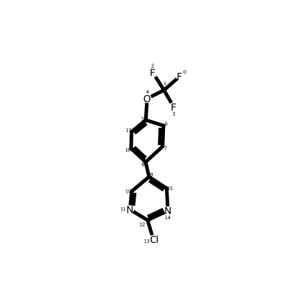 FC(F)(F)Oc1ccc(-c2cnc(Cl)nc2)cc1